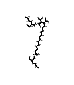 CCCCC(CC)COC(=O)CCCCCCCCCCCCC(C(C)C)C(C(=O)OCC(CC)CCCC)C(C)C